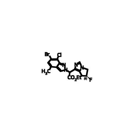 CCOC(=O)C(c1ncn2c1C[C@@H](F)C2)n1cc2c(C)cc(Br)c(Cl)c2n1